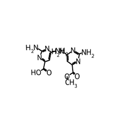 COC(=O)c1cc(N)nc(N)n1.Nc1cc(C(=O)O)nc(N)n1